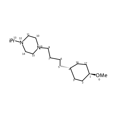 CO[C@H]1CC[C@H](CCCCN2CCN(C(C)C)CC2)CC1